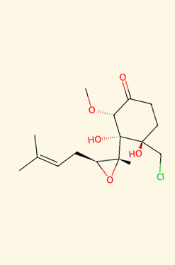 CO[C@@H]1C(=O)CC[C@](O)(CCl)[C@@]1(O)[C@]1(C)O[C@H]1CC=C(C)C